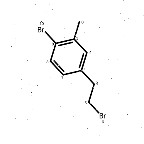 Cc1cc(CCBr)ccc1Br